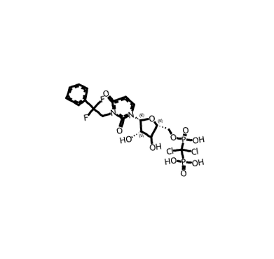 O=c1ccn([C@@H]2O[C@H](COP(=O)(O)C(Cl)(Cl)P(=O)(O)O)C(O)[C@@H]2O)c(=O)n1CC(F)(F)c1ccccc1